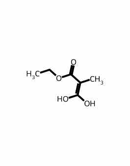 CCOC(=O)C(C)=C(O)O